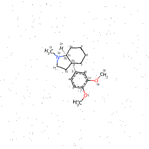 COc1ccc([C@@]23CCCC[C@@H]2N(C)CC3)cc1OC